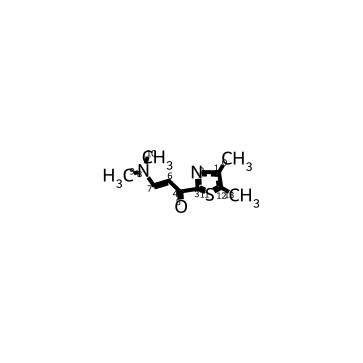 Cc1nc(C(=O)C=CN(C)C)sc1C